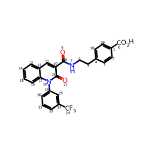 O=C(O)c1ccc(CCNC(=O)c2cc3ccccc3n(-c3cccc(C(F)(F)F)c3)c2=O)cc1